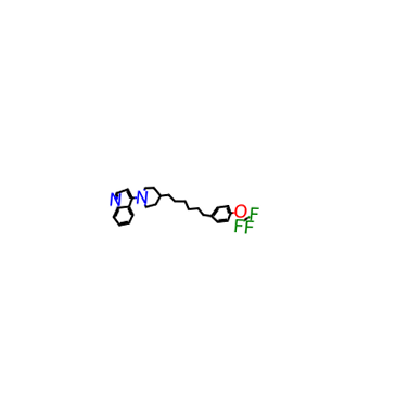 FC(F)(F)Oc1ccc(CCCCCCC2CCN(c3ccnc4ccccc34)CC2)cc1